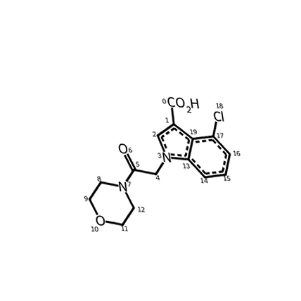 O=C(O)c1cn(CC(=O)N2CCOCC2)c2cccc(Cl)c12